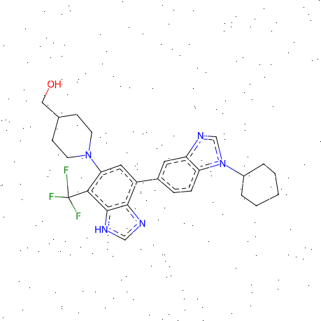 OCC1CCN(c2cc(-c3ccc4c(c3)ncn4C3CCCCC3)c3nc[nH]c3c2C(F)(F)F)CC1